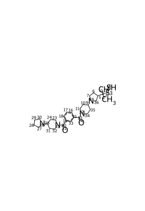 CC(C)(SS)C1CCN(C2CCN(C(=O)c3cccc(C(=O)N4CCC(N5CCCC5)CC4)c3)CC2)C1